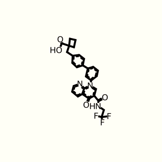 O=C(NCC(F)(F)F)c1cn(-c2cccc(-c3ccc(CC4(C(=O)O)CCC4)cc3)c2)c2ncccc2c1=O